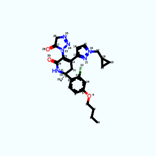 CCCCOc1ccc([C@]2(C)CC(c3ccn(CC4CC4)n3)=C(N3N=NCC3=O)C(=O)N2)c(F)c1